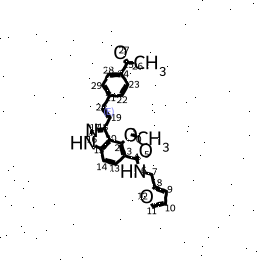 COc1c(C(=O)NCc2ccco2)ccc2[nH]nc(/C=C/c3ccc(C(C)=O)cc3)c12